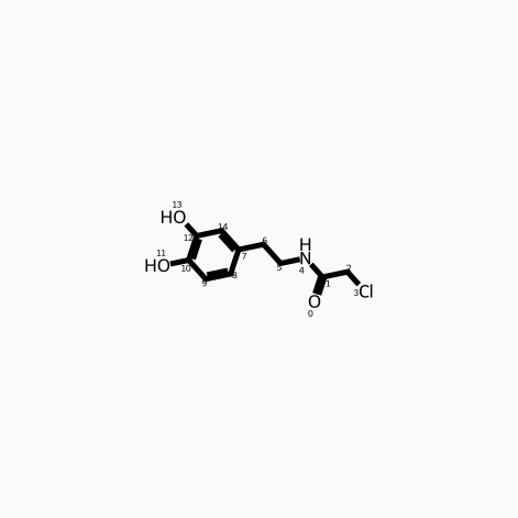 O=C(CCl)NCCc1ccc(O)c(O)c1